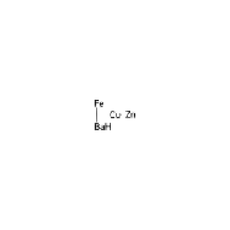 [Cu].[Fe][BaH].[Zn]